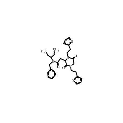 CCC(CC)N(Cc1ccccc1)C(=O)CC1C(=O)N(CCc2cccs2)CC(=O)N1CCc1cccs1